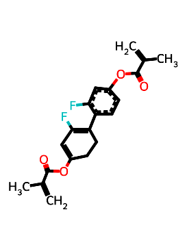 C=C(C)C(=O)OC1=CC(F)=C(c2ccc(OC(=O)C(=C)C)cc2F)CC1